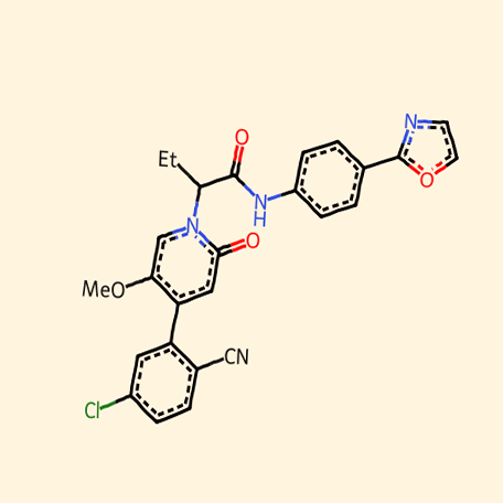 CCC(C(=O)Nc1ccc(-c2ncco2)cc1)n1cc(OC)c(-c2cc(Cl)ccc2C#N)cc1=O